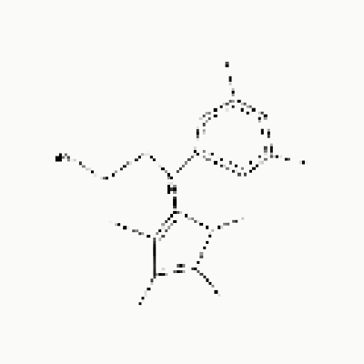 CC1=C(C)C(C)C([SiH](CCC(C)C)c2cc(C)cc(C)c2)=C1C